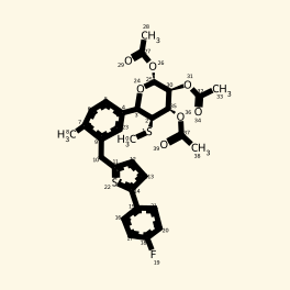 CS[C@H]1C(c2ccc(C)c(Cc3ccc(-c4ccc(F)cc4)s3)c2)O[C@H](OC(C)=O)[C@@H](OC(C)=O)[C@@H]1OC(C)=O